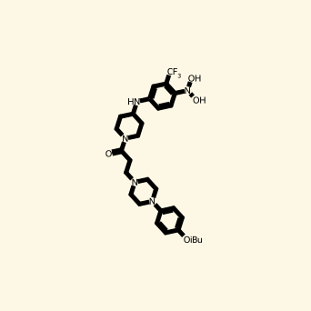 CC(C)COc1ccc(N2CCN(CCC(=O)N3CCC(Nc4ccc(N(O)O)c(C(F)(F)F)c4)CC3)CC2)cc1